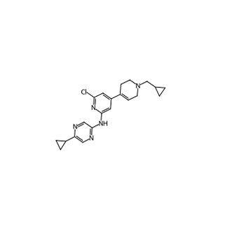 Clc1cc(C2=CCN(CC3CC3)CC2)cc(Nc2cnc(C3CC3)cn2)n1